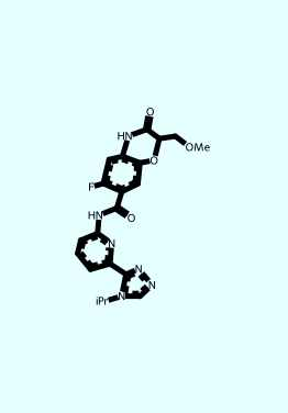 COCC1Oc2cc(C(=O)Nc3cccc(-c4nncn4C(C)C)n3)c(F)cc2NC1=O